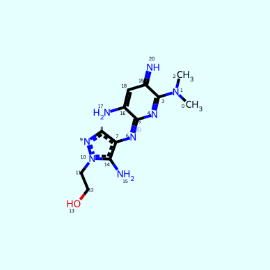 CN(C)C1=N/C(=N/c2cnn(CCO)c2N)C(N)=CC1=N